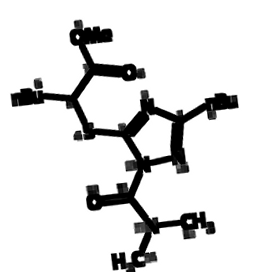 CCCCc1nc(SC(CCCC)C(=O)OC)n(C(=O)N(C)C)n1